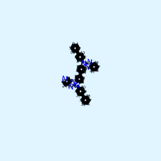 c1ccc(-c2ccc(-n3c4ccc(-c5ccc6c(c5)n5c7cnccc7nc5n6-c5ccc(-c6ccccc6)cc5)cc4n4c5ccccc5nc34)cc2)cc1